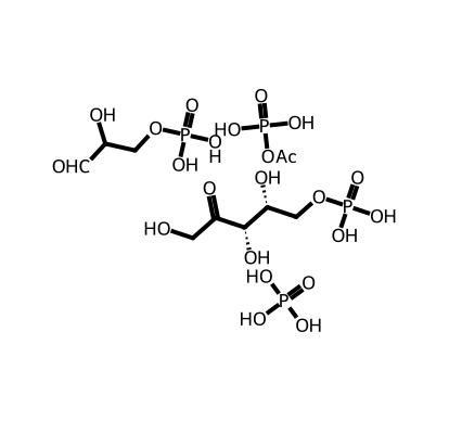 CC(=O)OP(=O)(O)O.O=C(CO)[C@@H](O)[C@H](O)COP(=O)(O)O.O=CC(O)COP(=O)(O)O.O=P(O)(O)O